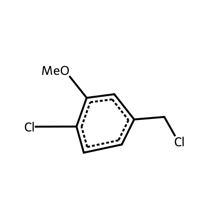 COc1cc(CCl)ccc1Cl